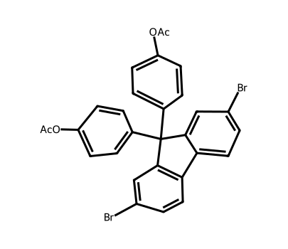 CC(=O)Oc1ccc(C2(c3ccc(OC(C)=O)cc3)c3cc(Br)ccc3-c3ccc(Br)cc32)cc1